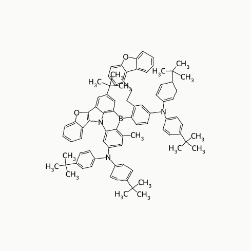 Cc1cc(N(c2ccc(C(C)(C)C)cc2)c2ccc(C(C)(C)C)cc2)cc2c1B(c1ccc(N(C3=CCC(C(C)(C)C)C=C3)c3ccc(C(C)(C)C)cc3)cc1CCc1cccc3oc4ccccc4c13)c1cc(C(C)(C)C)cc3c4oc5ccccc5c4n-2c13